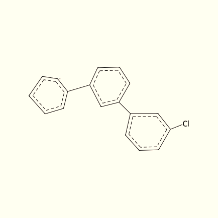 Clc1cccc(-c2cccc(-c3[c]cccc3)c2)c1